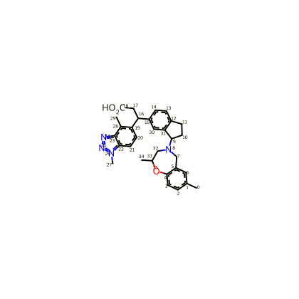 Cc1ccc2c(c1)CN(C1CCc3ccc(C(CC(=O)O)c4ccc5c(nnn5C)c4C)cc31)CC(C)O2